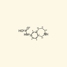 O=C(O)Nc1ccc2c(c1)CCCNC2